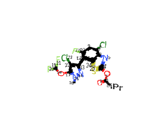 CC(C)C(=O)Oc1nc2c(Cl)cc(F)c(-c3nn(C)c(OC(F)F)c3Cl)c2s1